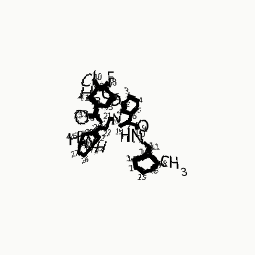 COc1cccc2c(C(=O)NCc3ccccc3C)cn(CCCN3[C@@H]4CC[C@H]3C[C@H](CC(=O)c3ccc(F)c(Cl)c3)C4)c12